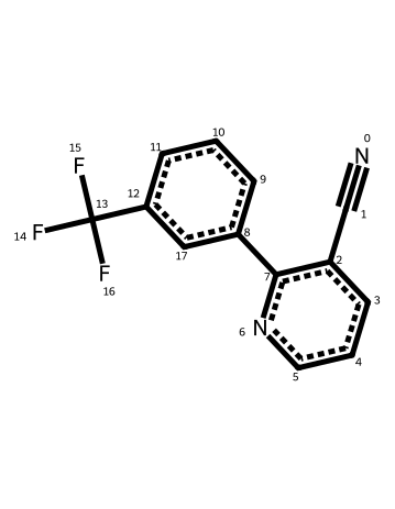 N#Cc1cccnc1-c1cccc(C(F)(F)F)c1